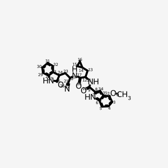 COc1cccc2[nH]c(C(=O)NC(CC3CC3)C(=O)NC(C#N)CC3C(=O)Nc4ccccc43)cc12